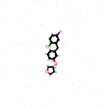 Clc1ccc(I)cc1Cc1cccc(O[C@@H]2CCOC2)c1